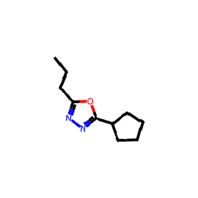 CCCc1nnc(C2CCCC2)o1